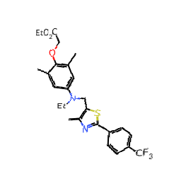 CCOC(=O)COc1c(C)cc(N(CC)Cc2sc(-c3ccc(C(F)(F)F)cc3)nc2C)cc1C